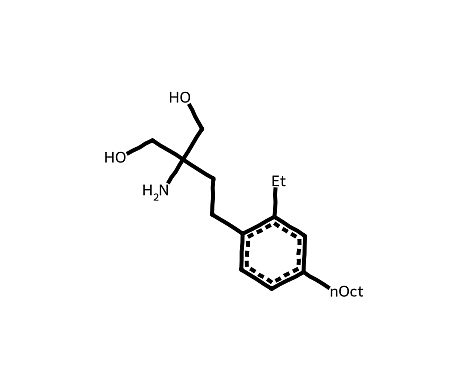 CCCCCCCCc1ccc(CCC(N)(CO)CO)c(CC)c1